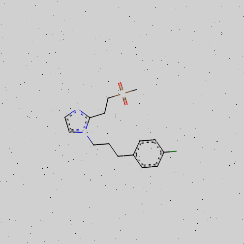 CS(=O)(=O)C[C@H](O)c1nccn1CCCc1ccc(Cl)cc1